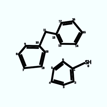 Sc1ccccc1.c1ccc(Cc2ccccc2)cc1